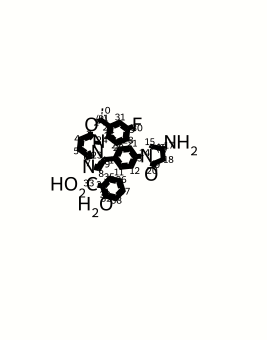 C[C@@H](Oc1ccc2ncc(-c3ccc(N4C[C@@H](N)CC4=O)cc3)n2n1)c1cccc(F)c1.O.O=C(O)c1ccccc1